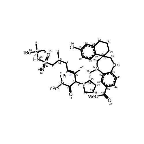 CCCN(CCC)C(=O)C(/C(F)=C/C[C@H](C)CS(=N)(=O)N[Si](C)(C)C(C)(C)C)N1CCC[C@H]1CN1C[C@@]2(CCCc3cc(Cl)ccc32)COc2ccc(C(=O)OC)cc21